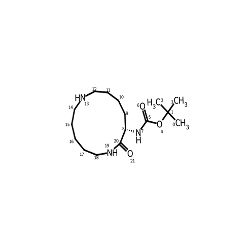 CC(C)(C)OC(=O)N[C@H]1CCCCNCCCCCNC1=O